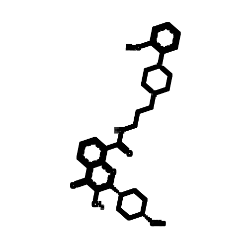 COc1ccccc1N1CCN(CCCNC(=O)c2cccc3c(=O)c(C)c([C@H]4CC[C@@H](OC)CC4)oc23)CC1